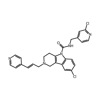 O=C(NCc1ccnc(Cl)c1)n1c2c(c3cc(Cl)ccc31)CN(CC=Cc1ccncc1)CC2